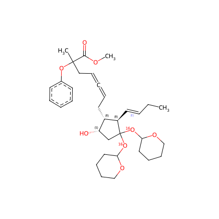 CC/C=C/[C@@H]1[C@@H](CC=C=CCC(C)(Oc2ccccc2)C(=O)OC)[C@@H](O)CC1([16O]C1CCCCO1)[16O]C1CCCCO1